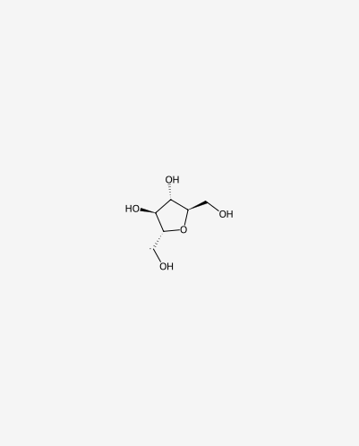 O[CH][C@H]1O[C@H](CO)[C@@H](O)[C@@H]1O